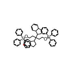 C1=CC2CCC(C(CCO[Si](c3ccccc3)(c3ccccc3)c3ccccc3)(CCO[Si](c3ccccc3)(c3ccccc3)c3ccccc3)C3CCC4C=CC=CC43)C2C=C1